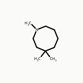 CN1CCCCC(C)(C)CC1